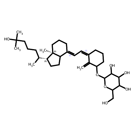 C=C1/C(=C\C=C2/CCC[C@@]3(C)C2CC[C@@H]3C(C)CCCC(C)(C)O)CCCC1OC1OC(CO)C(O)C(O)C1O